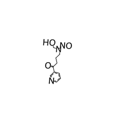 O=NN(CO)CCCC(=O)c1cccnc1